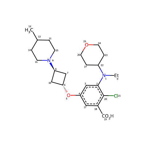 CCN(c1cc(O[C@H]2C[C@H](N3CCC(C)CC3)C2)cc(C(=O)O)c1Cl)C1CCOCC1